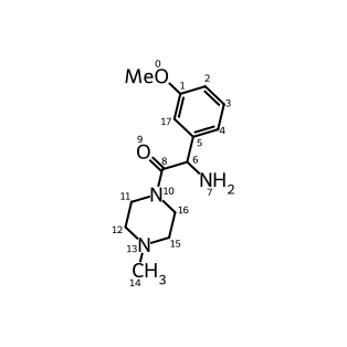 COc1cccc(C(N)C(=O)N2CCN(C)CC2)c1